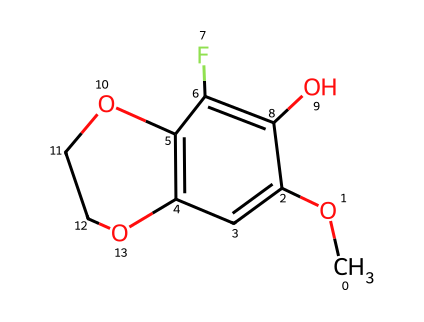 COc1cc2c(c(F)c1O)OCCO2